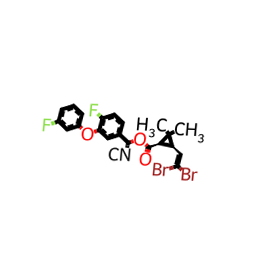 CC1(C)[C@H](C(=O)OC(C#N)c2ccc(F)c(Oc3cccc(F)c3)c2)[C@@H]1C=C(Br)Br